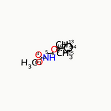 COC(=O)NCCOC(C)(C)c1ccccc1